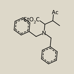 CCOC(=O)C(C(C)C(C)=O)N(Cc1ccccc1)Cc1ccccc1